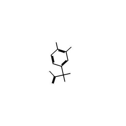 O=C(O)C(F)(C(=O)Cl)c1ccc(F)c(F)c1